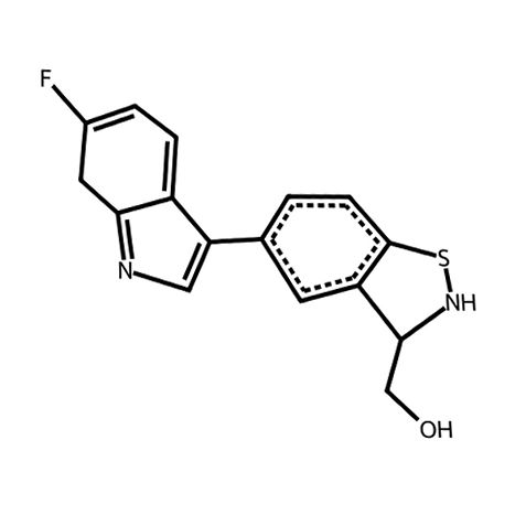 OCC1NSc2ccc(C3=CN=C4CC(F)=CC=C34)cc21